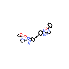 O=C(c1ccccc1)N1CCC[C@H]1c1nc2ccc(C#Cc3ccc4[nH]c([C@@H]5CCCN5C(=O)[C@H]5CCCO5)nc4c3)cc2[nH]1